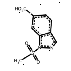 CS(=O)(=O)n1ncc2ccc(C(=O)O)cc21